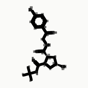 CC(C)(C)OC(=O)N1C[C@@H](O)C[C@H]1C(=O)NCC(=O)c1ccc(Br)cc1